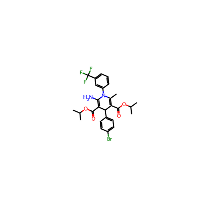 CC1=C(C(=O)OC(C)C)C(c2ccc(Br)cc2)C(C(=O)OC(C)C)=C(N)N1c1cccc(C(F)(F)F)c1